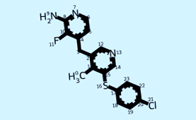 Cc1c(Cc2ccnc(N)c2F)cncc1Sc1ccc(Cl)cc1